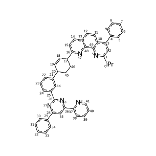 CC(C)c1cc(-c2ccccc2)c2ccc3ccc(C4C=CC(c5cccc(-c6nc(-c7ccccc7)cc(-c7ccccn7)n6)c5)CC4)nc3c2n1